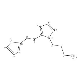 CCCCn1ncnc1SCc1cccs1